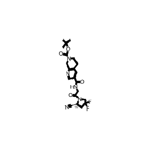 CC(C)(C)OC(=O)N1CCc2cc(C(=O)NCC(=O)N3CC(F)(F)C[C@H]3C#N)cnc2C1